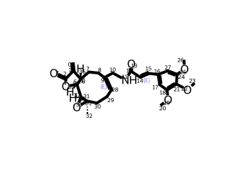 C=C1C(=O)O[C@H]2[C@H]1CC/C(CNC(=O)/C=C/c1cc(OC)c(OC)c(OC)c1)=C\CC[C@@]1(C)O[C@@H]21